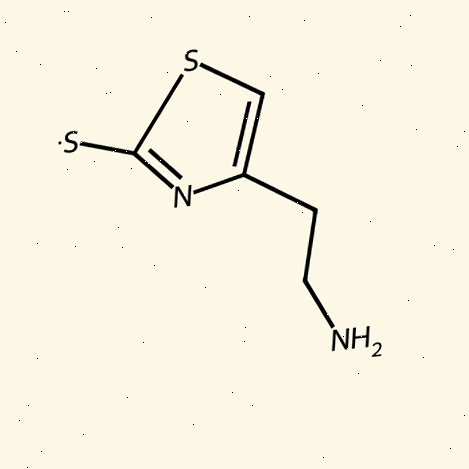 NCCc1csc([S])n1